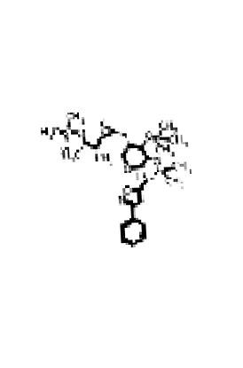 C[C@@H]([C@@H]1O[C@H]1C[C@H]1CO[C@@H](Cc2cc(-c3ccccc3)no2)[C@@H](O[Si](C)(C)C)[C@@H]1O[Si](C)(C)C)[C@H](C)O[Si](C)(C)C